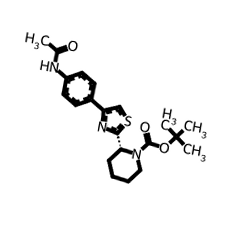 CC(=O)Nc1ccc(-c2csc([C@H]3CCCCN3C(=O)OC(C)(C)C)n2)cc1